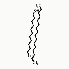 C=CCCCCCCCCCCCCCC.CCCCCCCCCCCCO